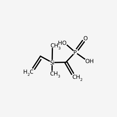 C=C[Si](C)(C)C(=C)P(=O)(O)O